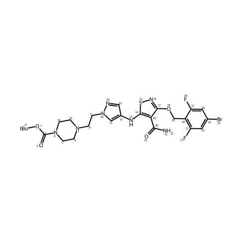 CC(C)(C)OC(=O)N1CCN(CCn2cc(Nc3snc(OCc4c(F)cc(Br)cc4F)c3C(N)=O)cn2)CC1